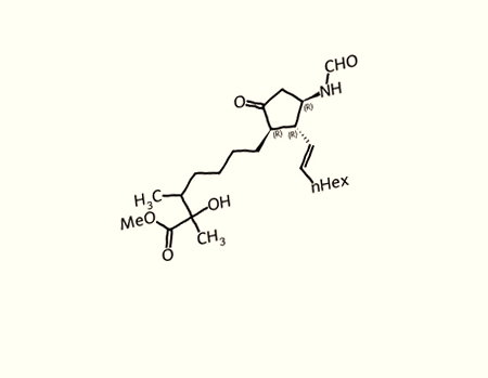 CCCCCCC=C[C@H]1[C@H](NC=O)CC(=O)[C@@H]1CCCCC(C)C(C)(O)C(=O)OC